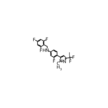 Cn1nc(C(F)(F)I)cc1-c1ccc(NCc2c(F)cc(F)cc2F)cc1F